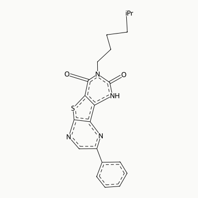 CC(C)CCCCn1c(=O)[nH]c2c(sc3ncc(-c4ccccc4)nc32)c1=O